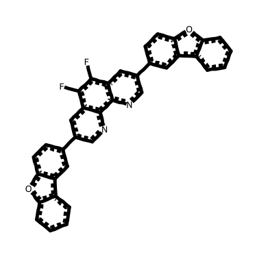 Fc1c(F)c2cc(-c3ccc4oc5ccccc5c4c3)cnc2c2ncc(-c3ccc4oc5ccccc5c4c3)cc12